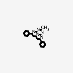 CC1=NC2=NC(c3ccccc3)=CC3=CC(c4ccccc4)=NC(=N1)N32